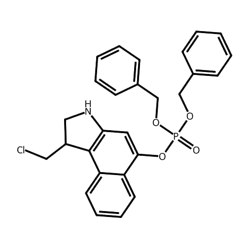 O=P(OCc1ccccc1)(OCc1ccccc1)Oc1cc2c(c3ccccc13)C(CCl)CN2